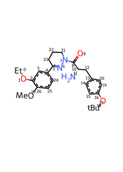 CCOc1cc(C2=NN(C(=O)[C@@H](N)Cc3ccc(OC(C)(C)C)cc3)CCC2)ccc1OC